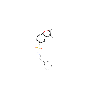 CCOC(=O)c1oc2ccc(S(=O)(=O)NCCC3CCCC3)cc2c1C